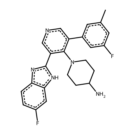 Cc1cc(F)cc(-c2cncc(-c3nc4ccc(F)cc4[nH]3)c2N2CCC(N)CC2)c1